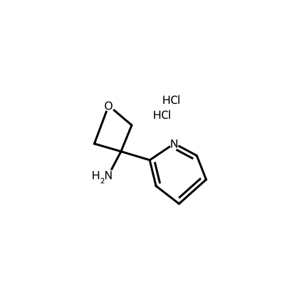 Cl.Cl.NC1(c2ccccn2)COC1